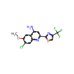 COc1cc2c(N)cc(-c3nc(C(F)(F)F)cs3)nc2cc1Cl